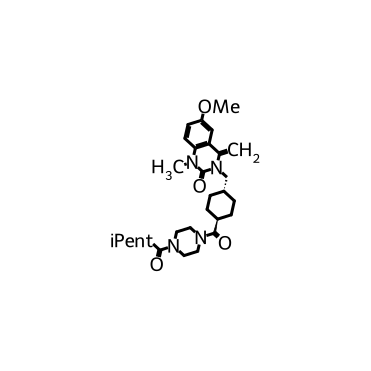 C=C1c2cc(OC)ccc2N(C)C(=O)N1C[C@H]1CC[C@H](C(=O)N2CCN(C(=O)C(C)CCC)CC2)CC1